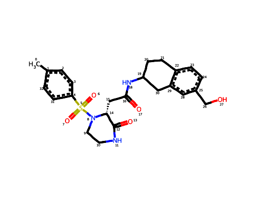 Cc1ccc(S(=O)(=O)N2CCNC(=O)[C@H]2CC(=O)NC2CCc3ccc(CO)cc3C2)cc1